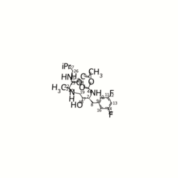 C=C(C)OC(=O)N[C@@H](Cc1cc(F)cc(F)c1)[C@H](O)CNC(C)C(=O)NCC(C)C